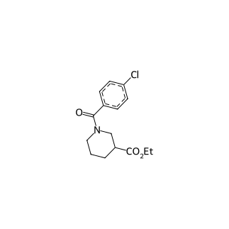 CCOC(=O)C1CCCN(C(=O)c2ccc(Cl)cc2)C1